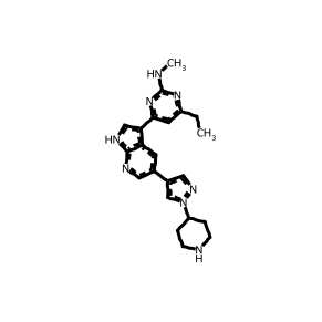 CCc1cc(-c2c[nH]c3ncc(-c4cnn(C5CCNCC5)c4)cc23)nc(NC)n1